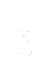 CCCCC(C(=O)O)C(CCCC)(C(O)=S)c1nc2cc(C(=O)N(CC)CC)ccc2s1